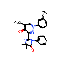 COC1CN(c2cccc(C(F)(F)F)c2)N=C(C2=NC(C)(C)C(=O)N2C2=CCCC=C2)C1=O